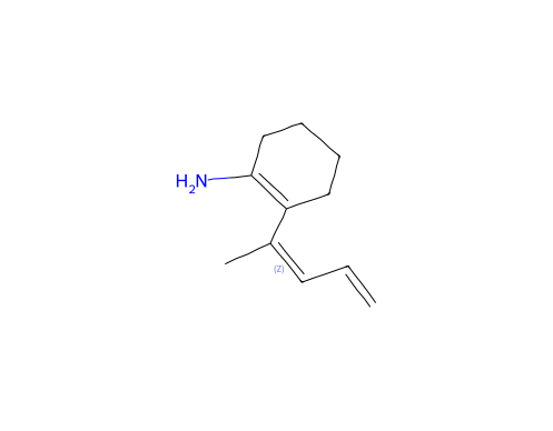 C=C/C=C(/C)C1=C(N)CCCC1